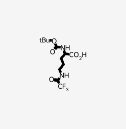 CC(C)(C)OC(=O)NC(CCCNC(=O)C(F)(F)F)C(=O)O